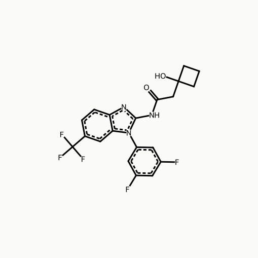 O=C(CC1(O)CCC1)Nc1nc2ccc(C(F)(F)F)cc2n1-c1cc(F)cc(F)c1